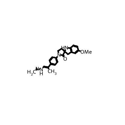 C=NN/C=C(\C)c1ccc(N2CCC3(Cc4cc(OC)ccc4N3)C2=O)cc1